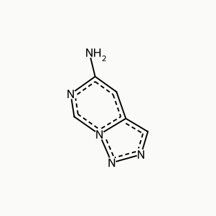 Nc1cc2cnnn2cn1